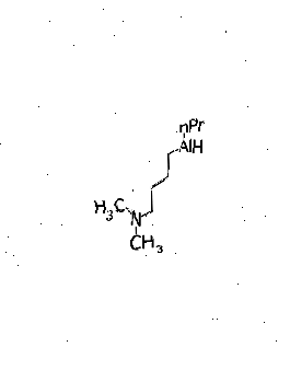 CC[CH2][AlH][CH2]CCCN(C)C